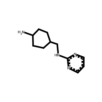 NC1CCC(CNc2ncccn2)CC1